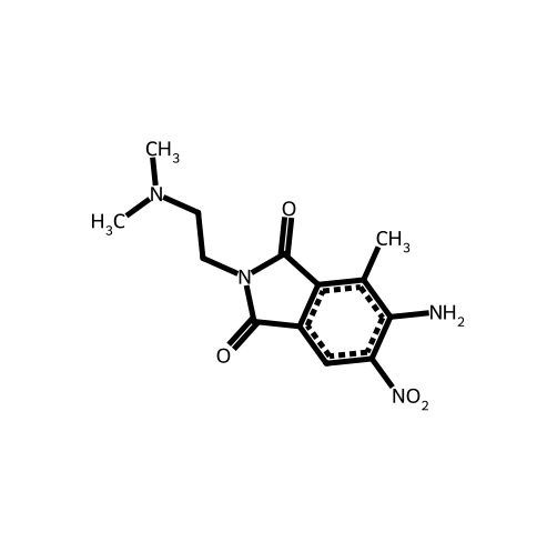 Cc1c(N)c([N+](=O)[O-])cc2c1C(=O)N(CCN(C)C)C2=O